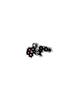 CC1=C(c2cccc3ccc4ccccc4c23)c2cccc(C)c2[CH]1[Zr+2][CH]1C(C(C)C)=Cc2c(-c3ccc(C(C)(C)C)cc3)cccc21.[Cl-].[Cl-]